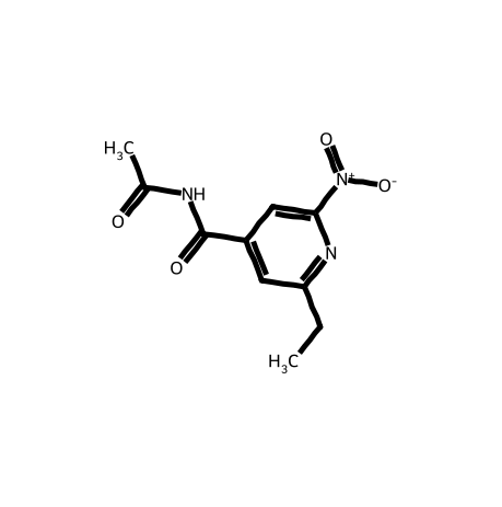 CCc1cc(C(=O)NC(C)=O)cc([N+](=O)[O-])n1